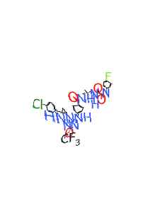 CN(C(=O)C(=O)NCC(C)(C)CNC(=O)c1ccc(Nc2nc(NC3(c4ccc(Cl)cc4)CC3)nc(OCC(F)(F)F)n2)cc1)c1ccc(F)cc1